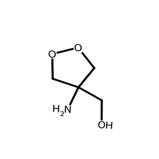 NC1(CO)COOC1